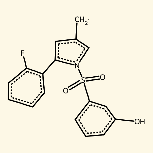 [CH2]c1cc(-c2ccccc2F)n(S(=O)(=O)c2cccc(O)c2)c1